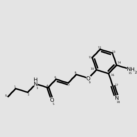 CCCNC(=O)C=CCOc1cccc(N)c1C#N